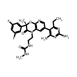 CCc1nc(N)nc(N)c1-c1cnc2c(c1)N(CCNC(=O)NC)C(=O)[C@](C)(c1cc(F)cc(F)c1)O2